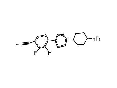 CC#Cc1ccc(-c2ccc([C@H]3CC[C@H](CCC)CC3)cc2)c(F)c1F